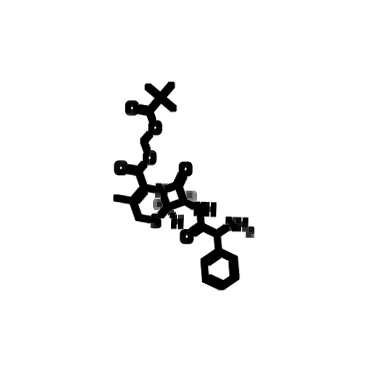 CC1=C(C(=O)OCOC(=O)C(C)(C)C)N2C(=O)[C@@H](NC(=O)C(N)c3ccccc3)[C@H]2SC1